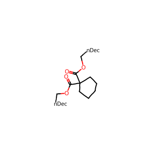 CCCCCCCCCCCOC(=O)C1(C(=O)OCCCCCCCCCCC)CCCCC1